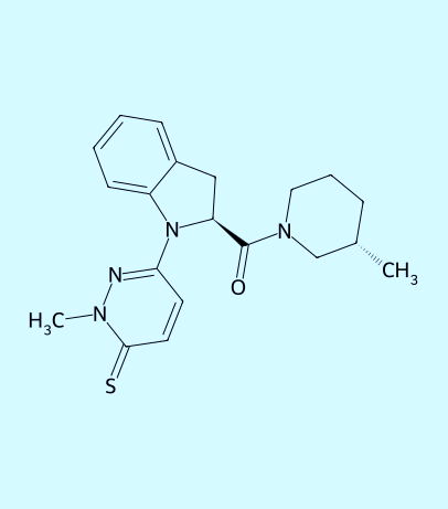 C[C@H]1CCCN(C(=O)[C@@H]2Cc3ccccc3N2c2ccc(=S)n(C)n2)C1